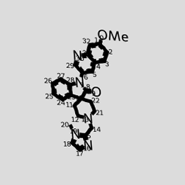 COc1ccc2cc(N3C(=O)C4(CCN(Cc5nccn5C)CC4)c4ccccc43)cnc2c1